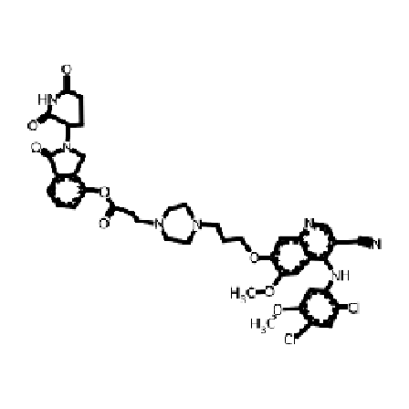 COc1cc(Nc2c(C#N)cnc3cc(OCCCN4CCN(CCC(=O)Oc5cccc6c5CN(C5CCC(=O)NC5=O)C6=O)CC4)c(OC)cc23)c(Cl)cc1Cl